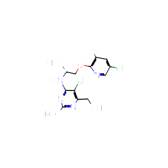 CCc1nc(C)nc(N[C@@H](C)COc2ncc(Cl)cc2F)c1Cl